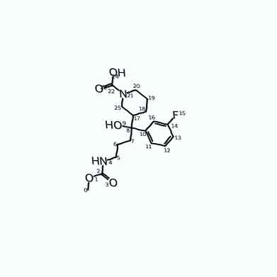 COC(=O)NCCCC(O)(c1cccc(F)c1)C1CCCN(C(=O)O)C1